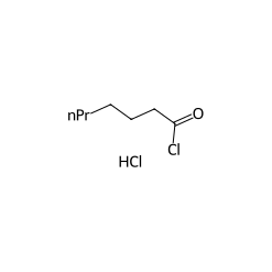 CCCCCCC(=O)Cl.Cl